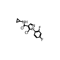 O=C(NC1CC1)c1cnn(-c2ccc(F)cc2F)c1Cl